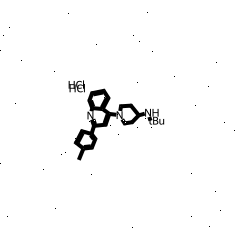 Cc1ccc(-c2cc(N3CCC(NC(C)(C)C)CC3)c3ccccc3n2)cc1.Cl.Cl